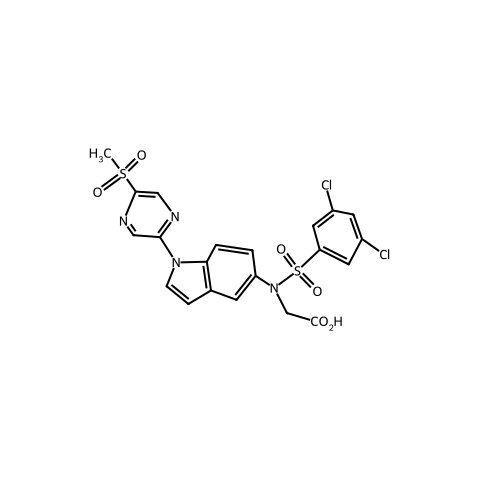 CS(=O)(=O)c1cnc(-n2ccc3cc(N(CC(=O)O)S(=O)(=O)c4cc(Cl)cc(Cl)c4)ccc32)cn1